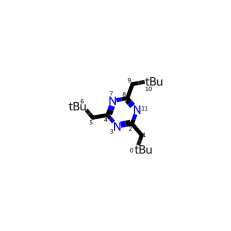 CC(C)(C)Cc1nc(CC(C)(C)C)nc(CC(C)(C)C)n1